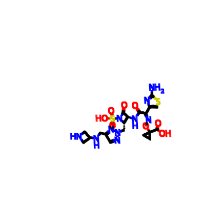 Nc1nc(C(=NOC2(C(=O)O)CC2)C(=O)N[C@@H]2C(=O)N(S(=O)(=O)O)[C@H]2Cn2ncc(CNC3CNC3)n2)cs1